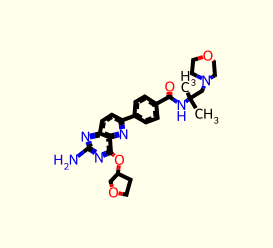 CC(C)(CN1CCOCC1)NC(=O)c1ccc(-c2ccc3nc(N)nc(OC4CCOC4)c3n2)cc1